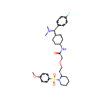 COc1ccc(S(=O)(=O)N2CCCCC2CCOCC(=O)NC2CCC(C(c3ccc(F)cc3)N(C)C)CC2)cc1